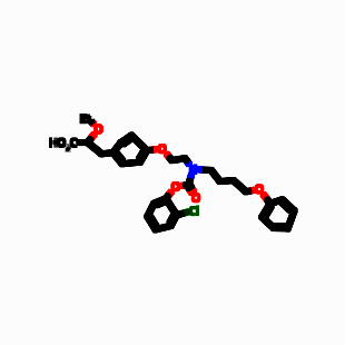 CCOC(Cc1ccc(OCCN(CCCCOc2ccccc2)C(=O)Oc2ccccc2Cl)cc1)C(=O)O